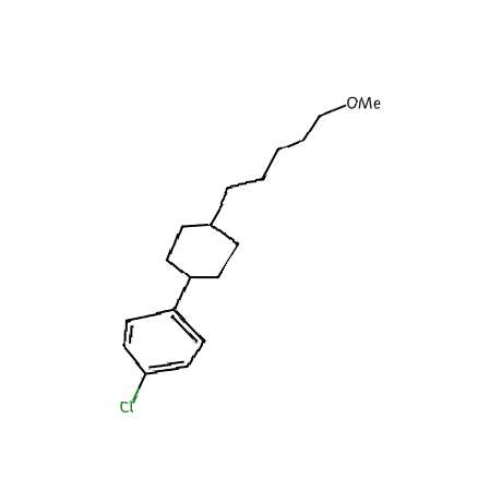 COCCCCCC1CCC(c2ccc(Cl)cc2)CC1